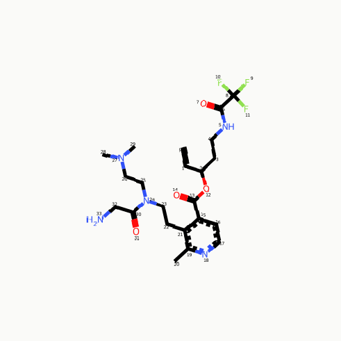 C=CC(CCNC(=O)C(F)(F)F)OC(=O)c1ccnc(C)c1CCN(CCN(C)C)C(=O)CN